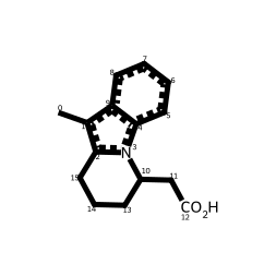 Cc1c2n(c3ccccc13)C(CC(=O)O)CCC2